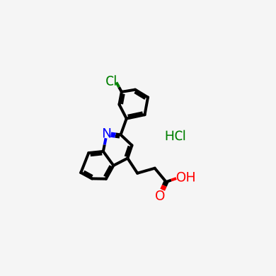 Cl.O=C(O)CCc1cc(-c2cccc(Cl)c2)nc2ccccc12